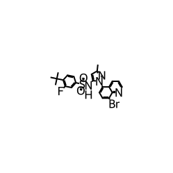 Cc1cc(NS(=O)(=O)c2ccc(C(C)(C)C)c(F)c2)n(-c2ccc(Br)c3ncccc23)n1